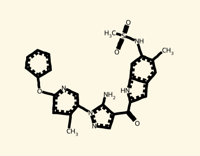 Cc1cc2cc(C(=O)c3cnn(-c4cnc(Oc5ccccc5)cc4C)c3N)[nH]c2cc1NS(C)(=O)=O